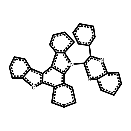 c1ccc(-c2nc3ccccc3nc2-n2c3ccccc3c3c4c5ccccc5oc4c4ccccc4c32)cc1